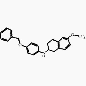 COc1ccc2c(c1)CCC(Nc1ccc(OCc3ccccc3)cc1)C2